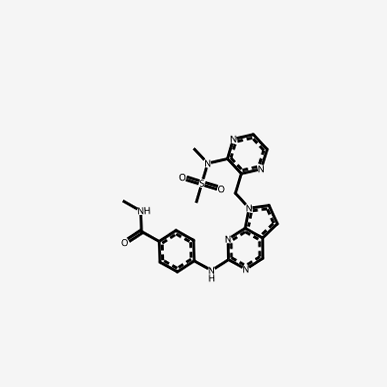 CNC(=O)c1ccc(Nc2ncc3ccn(Cc4nccnc4N(C)S(C)(=O)=O)c3n2)cc1